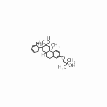 CC[C@@]12C[C@@](C)(O)[C@](O)(C3C=CC=CC3)C[C@H]1CCc1cc(OCC(C)(C)O)ccc12